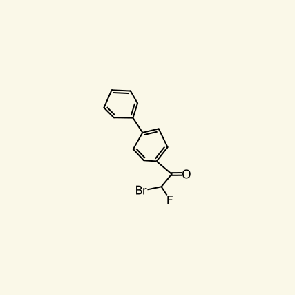 O=C(c1ccc(-c2ccccc2)cc1)C(F)Br